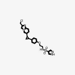 O=S(=O)(NCCOc1ccc(C2CC2c2ccc3nc(CCl)cn3c2)cc1)c1cn[nH]c1